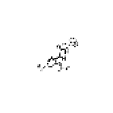 Nc1ccc2c(C(=O)N[C@@H]3CN4CCC3CC4)nn(C(F)F)c2c1